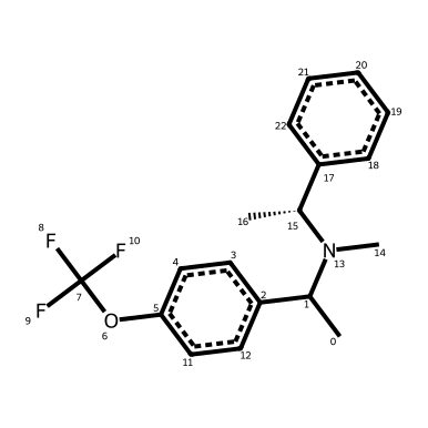 CC(c1ccc(OC(F)(F)F)cc1)N(C)[C@H](C)c1ccccc1